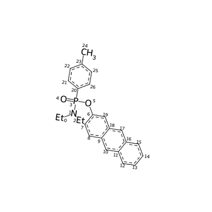 CCN(CC)P(=O)(Oc1ccc2cc3ccccc3cc2c1)c1ccc(C)cc1